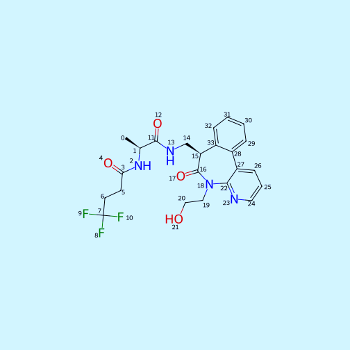 C[C@H](NC(=O)CCC(F)(F)F)C(=O)NC[C@@H]1C(=O)N(CCO)c2ncccc2-c2ccccc21